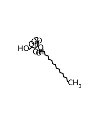 CCCCCCCCCCCCCCCC(=O)O[C@@H](C1OCCO1)[C@@H](O)[C@H](O)CO